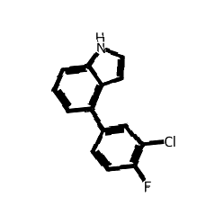 Fc1ccc(-c2cccc3[nH]ccc23)cc1Cl